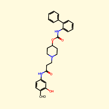 O=Cc1ccc(NC(=O)CCN2CCC(OC(=O)Nc3ccccc3-c3ccccc3)CC2)cc1O